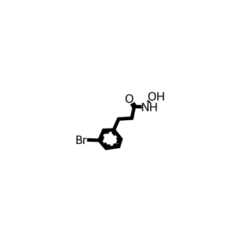 O=C(CCc1cccc(Br)c1)NO